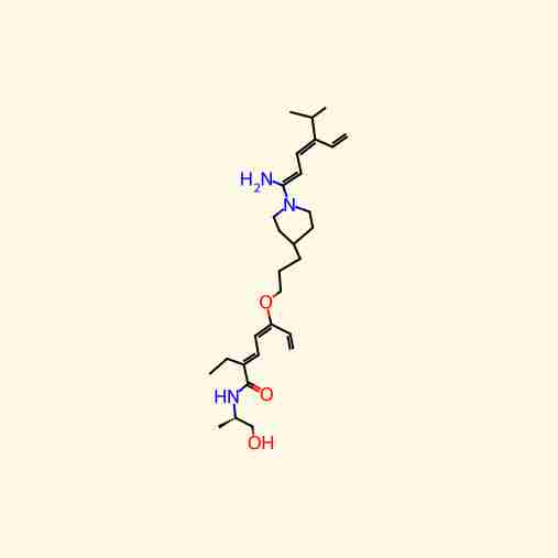 C=C/C(=C\C=C(/N)N1CCC(CCCO/C(C=C)=C/C=C(\CC)C(=O)N[C@H](C)CO)CC1)C(C)C